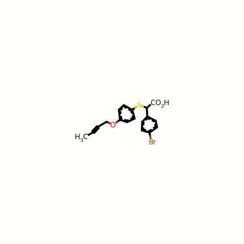 CC#CCOc1ccc(SC(C(=O)O)c2ccc(Br)cc2)cc1